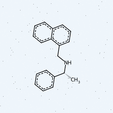 C[C@@H](NCc1cccc2ccccc12)c1ccccc1